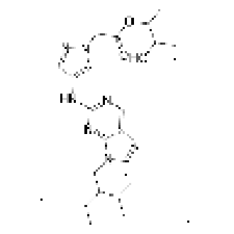 CCC(Cn1ccc2cnc(Nc3cnn(CC(=O)OC(C)C(C)O)c3)nc21)C(C)C